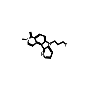 C=C1c2ccc3c(c2C=CN1C)c1ncccc1n3CCCF